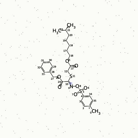 Cc1ccc(S(=O)(=O)O/N=C(\SCC(=O)OCCCCCC(C)C)C(=O)OCc2ccccc2)cc1